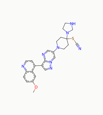 COc1ccc2nccc(-c3cnn4cc(N5CCC(SC#N)(N6CCNC6)CC5)cnc34)c2c1